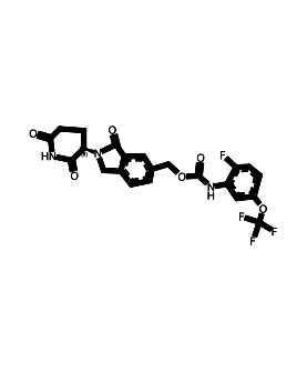 O=C1CC[C@@H](N2Cc3ccc(COC(=O)Nc4cc(OC(F)(F)F)ccc4F)cc3C2=O)C(=O)N1